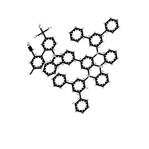 Cc1ccc(-c2cc(C(F)(F)F)ccc2-n2c3ccccc3c3cc(-c4cc5c6c(c4)N(c4cc(-c7ccccc7)cc(-c7ccccc7)c4)c4ccccc4B6c4ccccc4N5c4cc(-c5ccccc5)cc(-c5ccccc5)c4)ccc32)c(C#N)c1